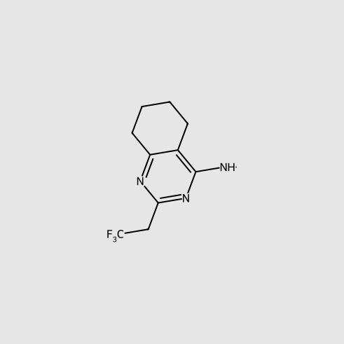 [NH]c1nc(CC(F)(F)F)nc2c1CCCC2